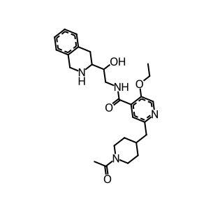 CCOc1cnc(CC2CCN(C(C)=O)CC2)cc1C(=O)NCC(O)C1Cc2ccccc2CN1